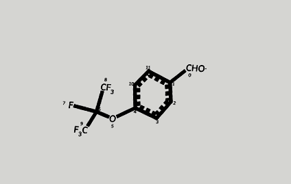 O=[C]c1ccc(OC(F)(C(F)(F)F)C(F)(F)F)cc1